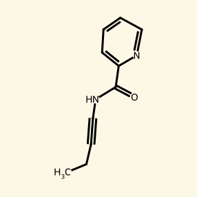 CCC#CNC(=O)c1ccccn1